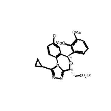 CCOC(=O)C[C@H]1O[C@H](c2cccc(OC)c2OC)c2cc(Cl)ccc2-n2c(C3CC3)nnc21